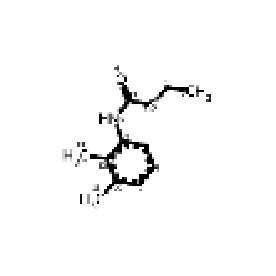 CCSC(=O)Nc1cccc(C)c1C